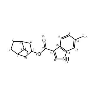 CN1C2CCC1CC(OC(=O)c1c[nH]c3cc(F)ccc13)C2